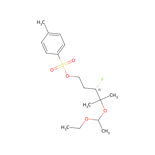 CCOC(C)OC(C)(C)[C@@H](F)CCOS(=O)(=O)c1ccc(C)cc1